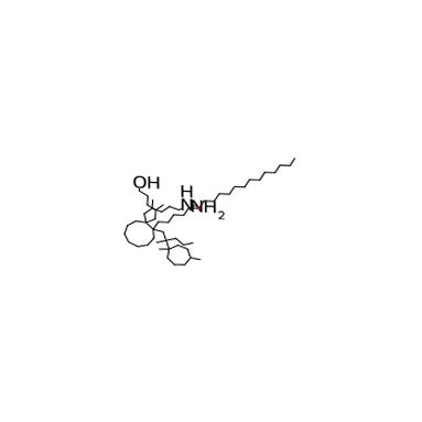 CCCCCCCCCCCCCCCCCCCC1(CC(C)(CCC)C2(C)CCCC(C)CC2)CCCCCCCC1(CC(C)CCCO)CC(C)CCCNN